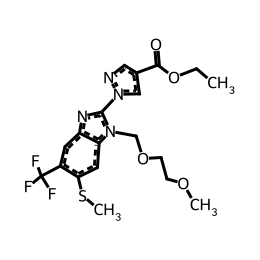 CCOC(=O)c1cnn(-c2nc3cc(C(F)(F)F)c(SC)cc3n2COCCOC)c1